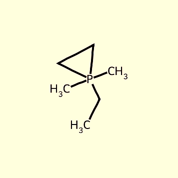 CCP1(C)(C)CC1